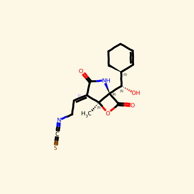 C[C@@]12OC(=O)[C@]1([C@@H](O)[C@@H]1C=CCCC1)NC(=O)/C2=C/CN=C=S